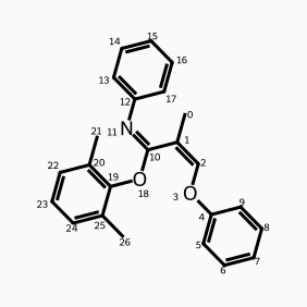 CC(=COc1ccccc1)C(=Nc1ccccc1)Oc1c(C)cccc1C